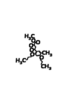 CCCCOc1cc(OCCCC)c(C(=O)CC(=O)C(=O)OCC)cc1C